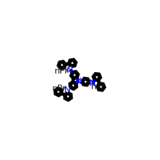 CCCN(c1ccc(-n2c3ccc(N(CCC)c4ccccc4-c4ccccc4)cc3c3cc(N(CCC)c4ccccc4-c4ccccc4)ccc32)cc1)c1ccccc1-c1ccccc1